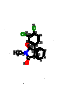 CN1C(=O)C2C3C=CC(CC3)C2(c2ccc(Cl)c(Cl)c2)C1=O